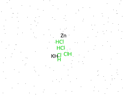 Cl.Cl.Cl.Cl.[KH].[Zn]